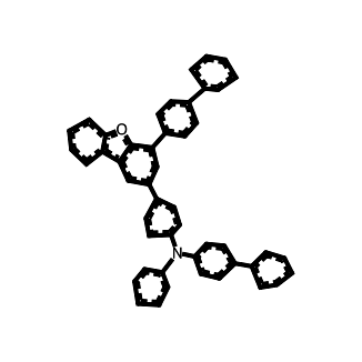 c1ccc(-c2ccc(-c3cc(-c4ccc(N(c5ccccc5)c5ccc(-c6ccccc6)cc5)cc4)cc4c3oc3ccccc34)cc2)cc1